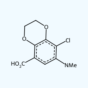 CNc1cc(C(=O)O)c2c(c1Cl)OCCO2